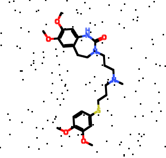 COc1ccc(SCCCN(C)CCCN2CCc3cc(OC)c(OC)cc3NC2=O)cc1OC